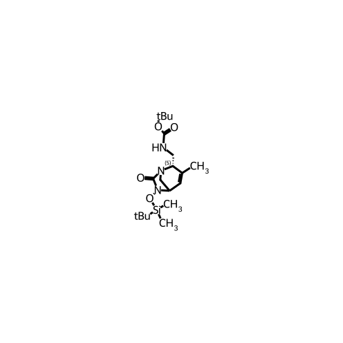 CC1=CC2CN(C(=O)N2O[Si](C)(C)C(C)(C)C)[C@@H]1CNC(=O)OC(C)(C)C